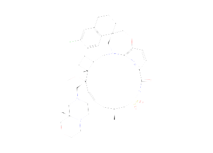 CO[C@@]1(CN2CCN3CCOC[C@@H]3C2)C=CC[C@H](C)[C@@H](C)S(=O)(=O)NC(=O)c2ccc3c(n2)N(C[C@@H]2CC[C@H]21)C[C@@]1(CCCc2cc(Cl)ccc21)CO3